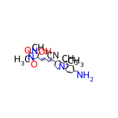 Cn1c(O)c(/C=C/C=C(\C#N)c2cc[n+]3c(c2)C(C)(C)c2cc(CN)ccc2-3)c(=O)n(C)c1=O